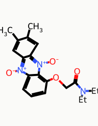 CCN(CC)C(=O)COc1cccc2c1[n+]([O-])c1cc(C)c(C)cc1[n+]2[O-]